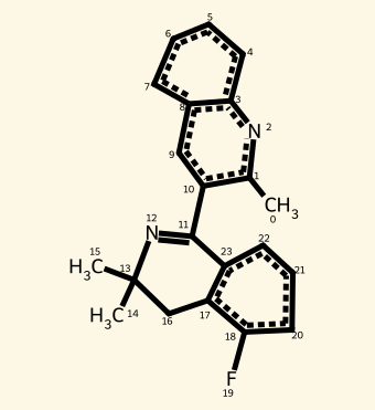 Cc1nc2ccccc2cc1C1=NC(C)(C)Cc2c(F)cccc21